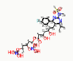 CC(CC(CCOC(=O)CC(O)CC(O)/C=C/c1c(-c2ccc(F)cc2)nc(N(C)S(C)(=O)=O)nc1C(C)C)ON(O)O)ON(O)O